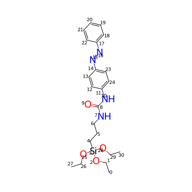 CCO[Si](CCCNC(=O)Nc1ccc(N=Nc2ccccc2)cc1)(OCC)OCC